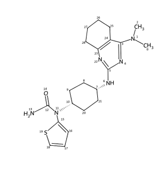 CN(C)c1nc(N[C@H]2CC[C@@H](N(C(N)=O)c3cccs3)CC2)nc2c1CCCC2